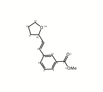 COC(=O)c1cccc(C=CC2CCCO2)c1